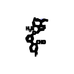 C=C(N)c1c(COc2cccc(C3C=CC(F)=CC3C=O)c2)csc1/C(=C\C)C(C)=O